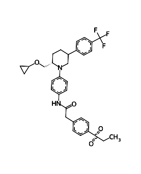 CCS(=O)(=O)c1ccc(CC(=O)Nc2ccc(N3CC(c4ccc(C(F)(F)F)cc4)CC[C@H]3COC3CC3)cc2)cc1